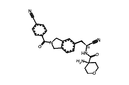 N#Cc1ccc(C(=O)N2Cc3ccc(C[C@@H](C#N)NC(=O)C4(N)CCOCC4)cc3C2)cc1